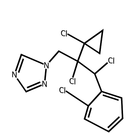 Clc1ccccc1C(Cl)C(Cl)(Cn1cncn1)C1(Cl)CC1